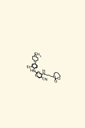 CCc1cc(N2CCN(C)CC2)ccc1Nc1ncc(C#N)c(NCCCN2CCCCOC2=O)n1